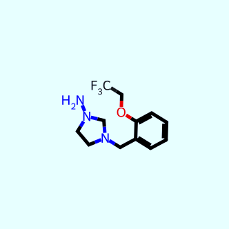 NN1CCN(Cc2ccccc2OCC(F)(F)F)C1